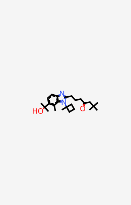 Cc1c(C(C)(C)O)ccc2nc(CCCC(=O)CC(C)(C)C)n(C3(C)CCC3)c12